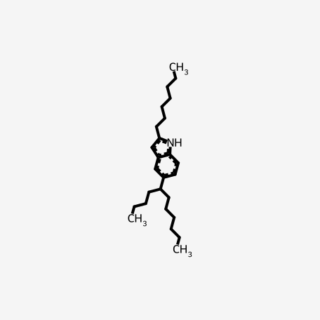 CCCCCCCc1cc2cc(C(CCCC)CCCCCC)ccc2[nH]1